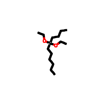 CCCCCC[Si](CCCC)(OCC)OCC